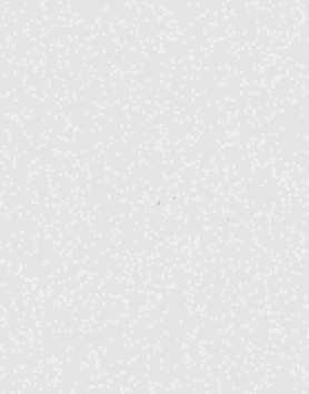 C[N+]1(CCCNC(=S)NCCCCCCI)CCOCC1